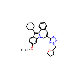 O=C(O)Oc1ccc2c(C3CCCCC3)c3n(c2c1)CC(c1nnn(CC2CCCO2)n1)=Cc1ccccc1-3